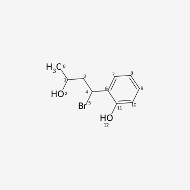 CC(O)CC(Br)c1ccccc1O